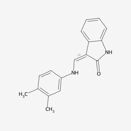 Cc1ccc(N/C=C2\C(=O)Nc3ccccc32)cc1C